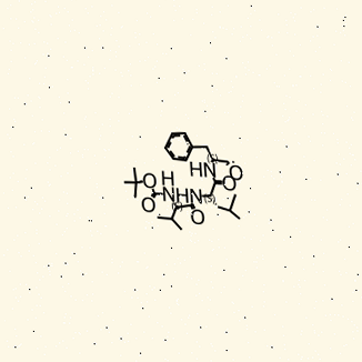 CC(C)C[C@H](NC(=O)[C@@H](NC(=O)OC(C)(C)C)C(C)C)C(=O)N[C@H]([C]=O)Cc1ccccc1